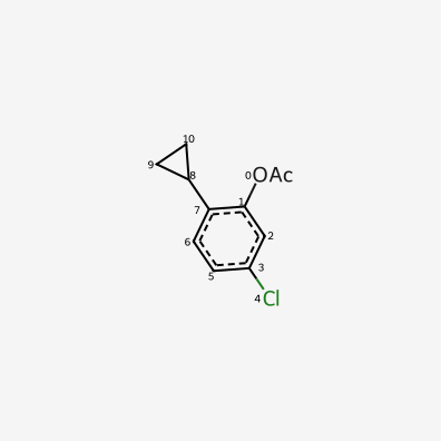 CC(=O)Oc1cc(Cl)ccc1C1CC1